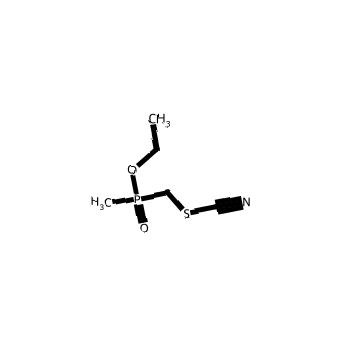 CCOP(C)(=O)CSC#N